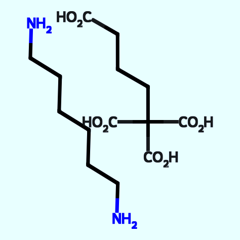 NCCCCCCN.O=C(O)CCCC(C(=O)O)(C(=O)O)C(=O)O